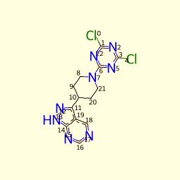 Clc1nc(Cl)nc(N2CCC(c3n[nH]c4ncncc34)CC2)n1